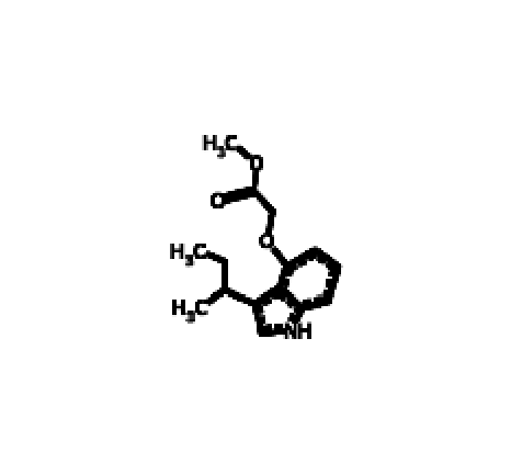 CCC(C)c1c[nH]c2cccc(OCC(=O)OC)c12